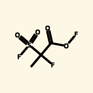 CC(F)(C(=O)OF)S(=O)(=O)F